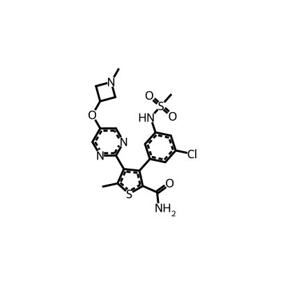 Cc1sc(C(N)=O)c(-c2cc(Cl)cc(NS(C)(=O)=O)c2)c1-c1ncc(OC2CN(C)C2)cn1